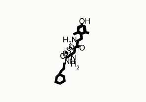 Cc1cc(O)cc(C)c1C[C@@H](N)C(=O)CCC(N)(C(=O)NCCCC1CCCCC1)S(C)(=O)=O